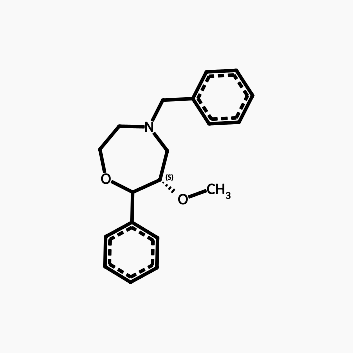 CO[C@H]1CN(Cc2ccccc2)CCOC1c1ccccc1